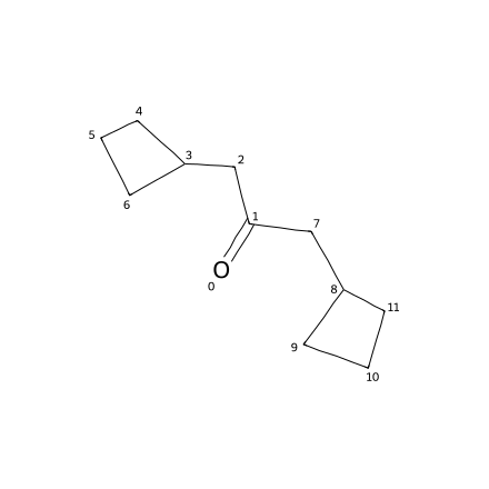 O=C(CC1CCC1)CC1CCC1